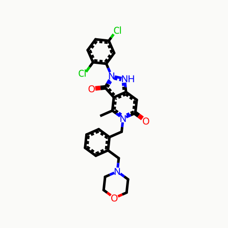 Cc1c2c(=O)n(-c3cc(Cl)ccc3Cl)[nH]c2cc(=O)n1Cc1ccccc1CN1CCOCC1